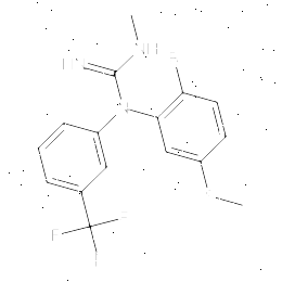 CNC(=N)N(c1cccc(C(F)(F)F)c1)c1cc(SC)ccc1Br